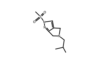 C[C](C)CN1Cc2cn(S(C)(=O)=O)nc2C1